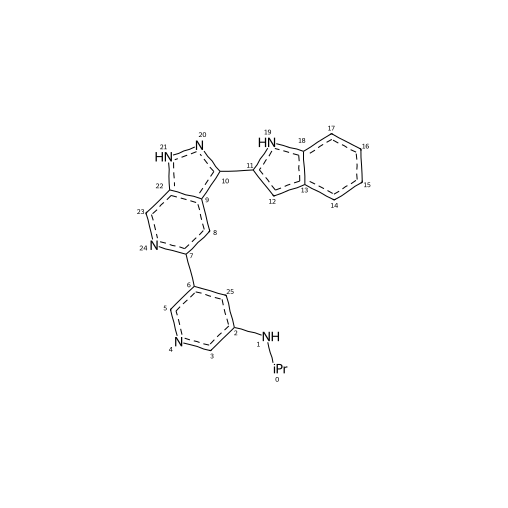 CC(C)Nc1cncc(-c2cc3c(-c4cc5ccccc5[nH]4)n[nH]c3cn2)c1